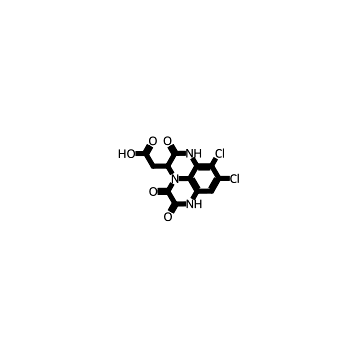 O=C(O)CC1C(=O)Nc2c(Cl)c(Cl)cc3[nH]c(=O)c(=O)n1c23